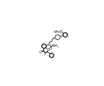 COc1ccccc1N1CCN(CCCN(C(N)=O)c2cccc3c(=O)c(C)c(-c4ccccc4)oc23)CC1